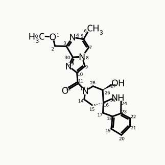 COCc1nc(C)cn2cc(C(=O)N3CC[C@]4(Cc5ccccc5CN4)[C@H](O)C3)nc12